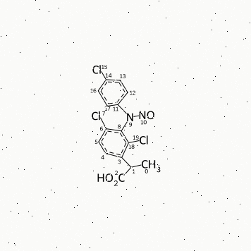 CC(C(=O)O)c1ccc(Cl)c(N(N=O)c2ccc(Cl)cc2)c1Cl